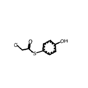 O=C(CCl)Sc1ccc(O)cc1